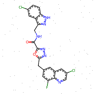 O=C(NCc1n[nH]c2ccc(Cl)cc12)c1nnc(Cc2cc(F)c3ncc(Cl)cc3c2)o1